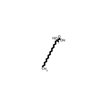 CCCCCCCCCCCCCCCCC(O)(I)C(=O)O